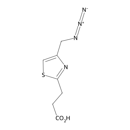 [N-]=[N+]=NCc1csc(CCC(=O)O)n1